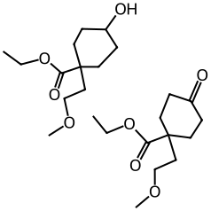 CCOC(=O)C1(CCOC)CCC(=O)CC1.CCOC(=O)C1(CCOC)CCC(O)CC1